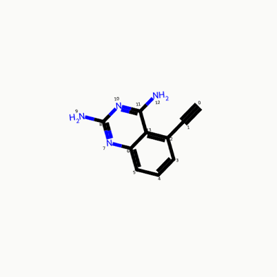 C#Cc1cccc2nc(N)nc(N)c12